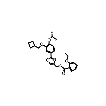 CCOc1ccccc1C(=O)NCc1coc(-c2ccc(OC(F)F)c(OCC3CCC3)c2)n1